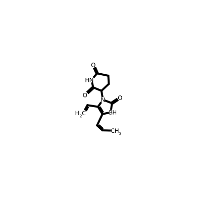 C=CC1=C(/C=C\C)BC(=O)N1C1CCC(=O)NC1=O